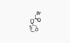 O=C(CBr)OC1COCCS1